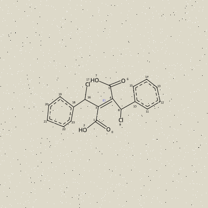 O=C(O)/C(=C(/C(=O)O)C(Cl)c1ccccc1)C(Cl)c1ccccc1